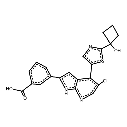 O=C(O)c1cccc(-c2cc3c(-c4cnc(C5(O)CCC5)s4)c(Cl)cnc3[nH]2)c1